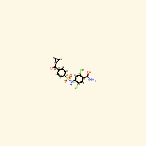 NC(=O)c1cc(F)c(NS(=O)(=O)c2ccc(C(=O)C3CC3)cc2)cc1F